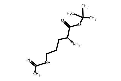 CC(=N)NCCC[C@H](N)C(=O)OC(C)(C)C